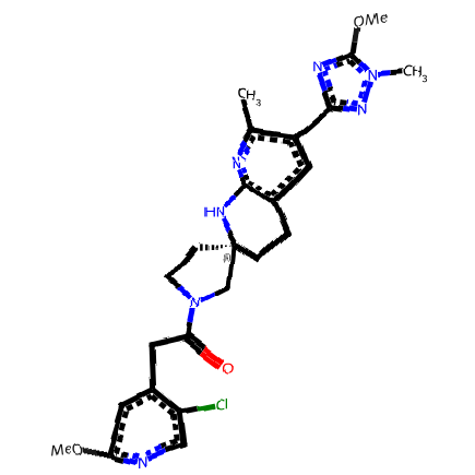 COc1cc(CC(=O)N2CC[C@]3(CCc4cc(-c5nc(OC)n(C)n5)c(C)nc4N3)C2)c(Cl)cn1